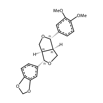 COc1ccc([C@H]2OC[C@H]3[C@@H]2CO[C@@H]3c2ccc3c(c2)OCO3)cc1OC